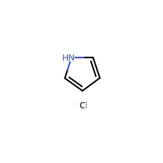 [C].c1cc[nH]c1